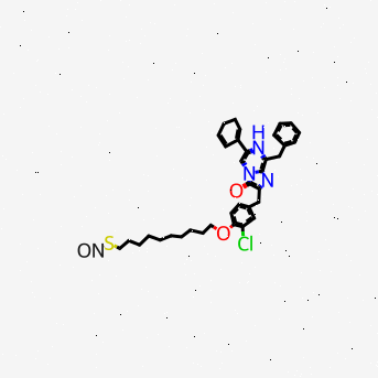 O=NSCCCCCCCCCCOc1ccc(Cc2nc3c(Cc4ccccc4)[nH]c(C4=CCCC=C4)cn-3c2=O)cc1Cl